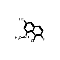 CNc1cc(O)cc2ccc(F)c(Cl)c12